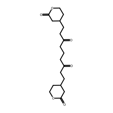 O=C(CCCC(=O)CCC1CCOC(=O)C1)CCC1CCOC(=O)C1